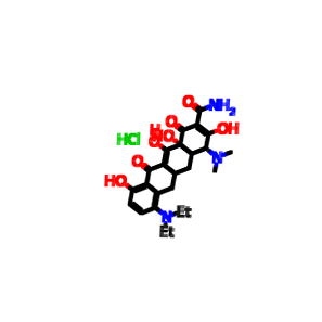 CCN(CC)c1ccc(O)c2c1CC1CC3[C@H](N(C)C)C(O)=C(C(N)=O)C(=O)[C@@]3(O)C(O)=C1C2=O.Cl